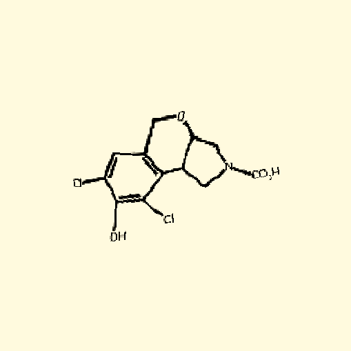 O=C(O)N1CC2OCc3cc(Cl)c(O)c(Cl)c3C2C1